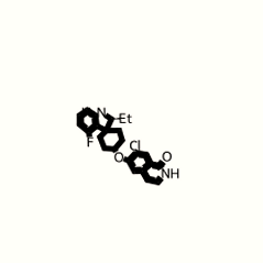 CC[C@@H](N)C1(c2ccccc2F)CCC(Oc2cc3cc[nH]c(=O)c3cc2Cl)CC1